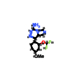 COc1ccc(-c2nnc(N)n3cncc23)c(OC(F)F)c1